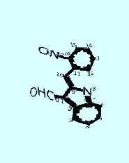 O=CC1=c2ccccc2=NC1=Cc1ccccc1N=O